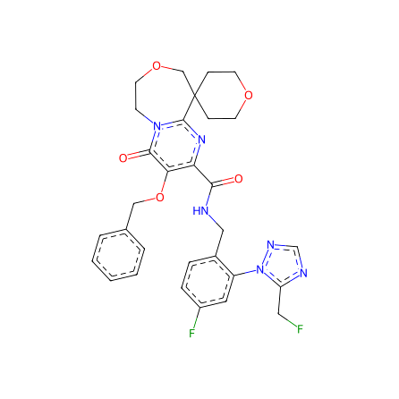 O=C(NCc1ccc(F)cc1-n1ncnc1CF)c1nc2n(c(=O)c1OCc1ccccc1)CCOCC21CCOCC1